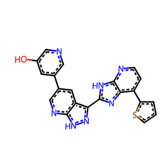 Oc1cncc(-c2cnc3[nH]nc(-c4nc5c(-c6cccs6)ccnc5[nH]4)c3c2)c1